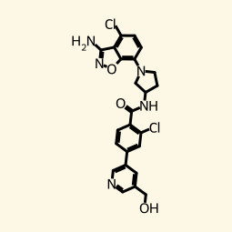 Nc1noc2c(N3CCC(NC(=O)c4ccc(-c5cncc(CO)c5)cc4Cl)C3)ccc(Cl)c12